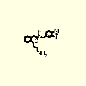 NCCCCc1ccccc1CC(=O)NCc1ccc2[nH]cnc2c1